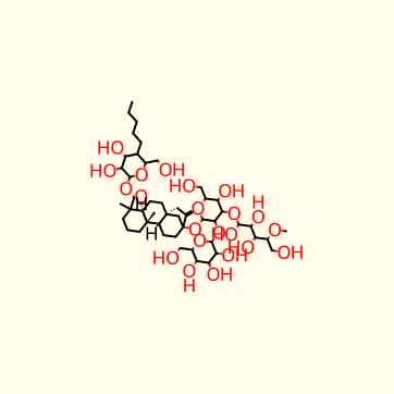 C=C1C[C@@]23CC[C@@H]4C(C)(C(=O)OC5OC(CO)C(CCCCC)C(O)C5O)CCC[C@@]4(C)[C@@H]2CC[C@]1(OC1OC(CO)C(O)C(OC(O)C(O)C(O)C(CO)OC)C1OC1OC(CO)C(O)C(O)C1O)C3